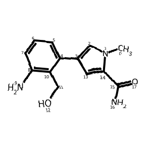 Cn1cc(-c2cccc(N)c2CO)cc1C(N)=O